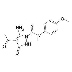 COc1ccc(NC(=S)n2[nH]c(=O)c(C(C)=O)c2N)cc1